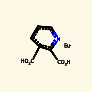 O=C(O)c1cccnc1C(=O)O.[Eu]